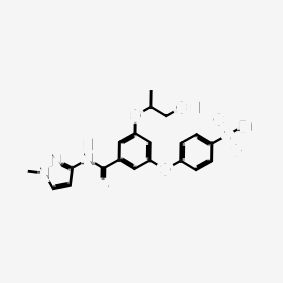 CCS(=O)(=O)c1ccc(Oc2cc(OC(C)CO)cc(C(=O)Nc3ccn(C)n3)c2)cc1